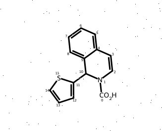 O=C(O)N1C=Cc2ccccc2C1c1cccs1